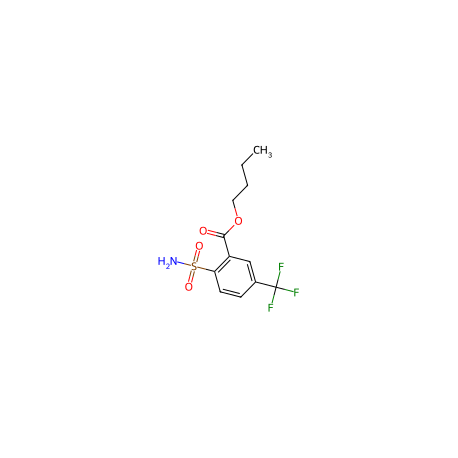 CCCCOC(=O)c1cc(C(F)(F)F)ccc1S(N)(=O)=O